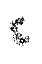 COc1cc2c(cc1NC(=O)CN1CCN(C(=O)c3cnon3)CC1)OCO2